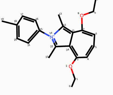 CCOc1cccc(OCC)c2c(C)[n+](-c3ccc(C)cc3)c(C)c1-2